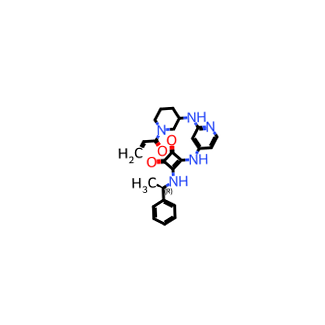 C=CC(=O)N1CCCC(Nc2cc(Nc3c(N[C@H](C)c4ccccc4)c(=O)c3=O)ccn2)C1